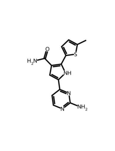 Cc1ccc(-c2[nH]c(-c3ccnc(N)n3)cc2C(N)=O)s1